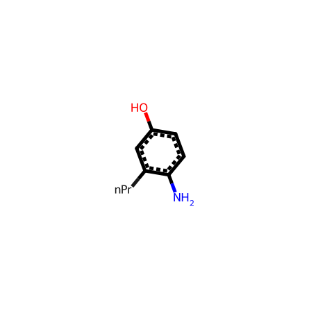 CCCc1cc(O)ccc1N